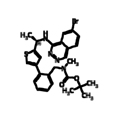 C[C@@H](Nc1nncc2ccc(Br)cc12)c1cc(-c2ccccc2CN(C)C(=O)OC(C)(C)C)cs1